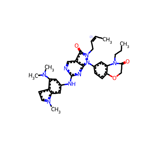 C/C=C\Cn1c(=O)c2cnc(Nc3cc(N(C)C)c4ccn(C)c4c3)nc2n1-c1ccc2c(c1)N(CCC)C(=O)CO2